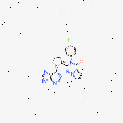 O=c1c2cccn2nc([C@@H]2CCCN2c2ncnc3[nH]cnc23)n1-c1ccc(F)cc1